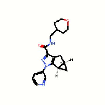 O=C(NCC1CCOCC1)c1nn(-c2cccnc2)c2c1C[C@H]1C[C@@H]21